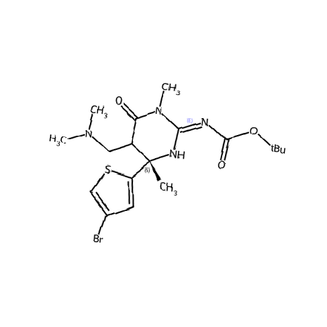 CN(C)CC1C(=O)N(C)/C(=N/C(=O)OC(C)(C)C)N[C@]1(C)c1cc(Br)cs1